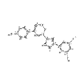 O=C(NC(CO)c1nc(-c2cc(F)cc(F)c2)no1)c1ccc(F)cc1